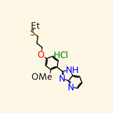 CCSCCCOc1ccc(-c2nc3ncccc3[nH]2)c(OC)c1.Cl